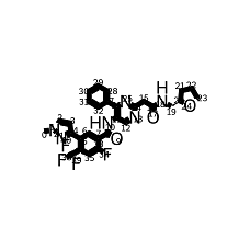 Cn1ccc(-c2cc(C(=O)Nc3cnc(CC(=O)NC[C@@H]4CCCO4)nc3-c3ccccc3)c(F)cc2C(F)(F)F)n1